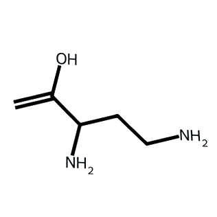 C=C(O)C(N)CCN